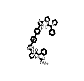 COC(=O)N[C@@H](C(=O)N1CCC[C@H]1c1ncc(C23CCC(c4ccc(-c5cnc([C@@H]6CCCN6C(=O)[C@@H](c6ccccc6)N6CCCC6)[nH]5)cc4)(CC2)CC3)[nH]1)c1ccccc1